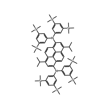 CC(C)c1cc(N(c2cc([Si](C)(C)C)cc([Si](C)(C)C)c2)c2cc([Si](C)(C)C)cc([Si](C)(C)C)c2)c2ccc3c(C(C)C)cc(N(c4cc([Si](C)(C)C)cc([Si](C)(C)C)c4)c4cc([Si](C)(C)C)cc([Si](C)(C)C)c4)c4ccc1c2c34